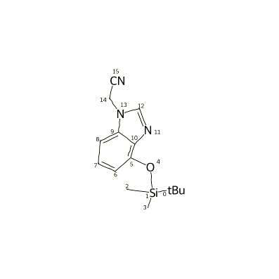 CC(C)(C)[Si](C)(C)Oc1cccc2c1ncn2CC#N